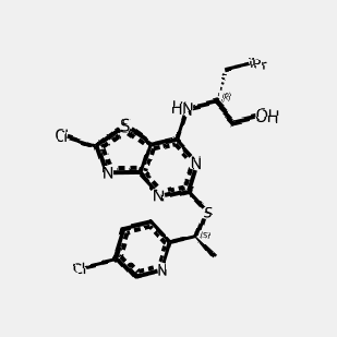 CC(C)C[C@H](CO)Nc1nc(S[C@@H](C)c2ccc(Cl)cn2)nc2nc(Cl)sc12